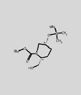 CC(C)(C)OC(=O)N1C[C@H](O[Si](C)(C)C(C)(C)C)CC[C@@H]1CO